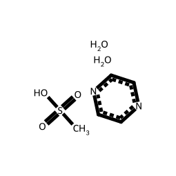 CS(=O)(=O)O.O.O.c1cnccn1